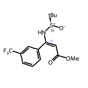 COC(=O)/C=C(/N[S@+]([O-])C(C)(C)C)c1cccc(C(F)(F)F)c1